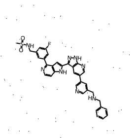 CS(=O)(=O)NCc1cc(F)cc(-c2nccc3[nH]c(-c4n[nH]c5ncc(-c6cncc(CNCc7ccccc7)c6)cc45)cc23)c1